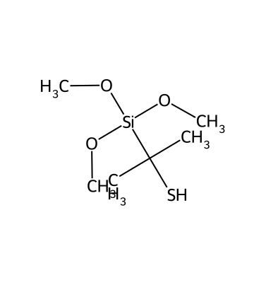 CO[Si](OC)(OC)C(C)(C)S